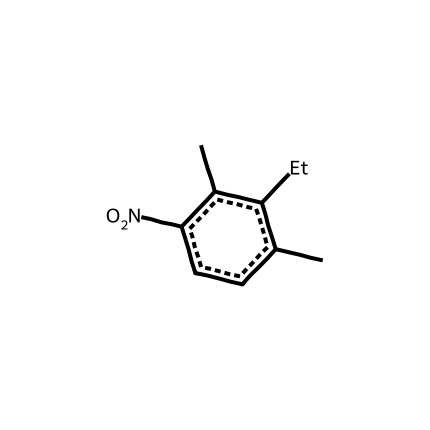 CCc1c(C)ccc([N+](=O)[O-])c1C